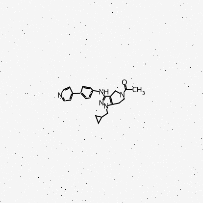 CC(=O)N1CCc2c(c(Nc3ccc(-c4ccncc4)cc3)nn2CC2CC2)C1